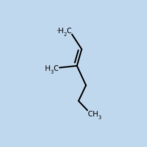 [CH2]/C=C(\C)CCC